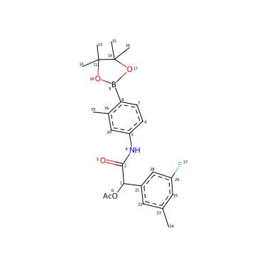 CC(=O)OC(C(=O)Nc1ccc(B2OC(C)(C)C(C)(C)O2)c(C)c1)c1cc(C)cc(F)c1